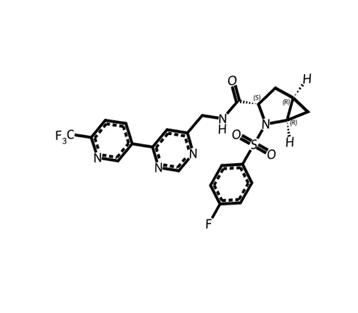 O=C(NCc1cc(-c2ccc(C(F)(F)F)nc2)ncn1)[C@@H]1C[C@H]2C[C@H]2N1S(=O)(=O)c1ccc(F)cc1